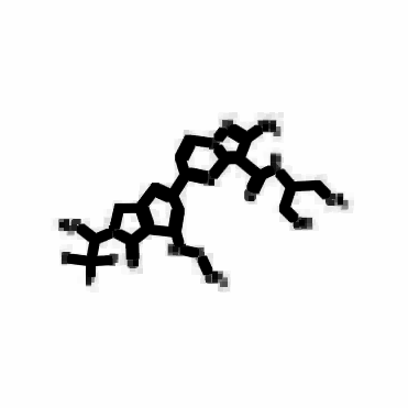 CCC(CO)NC(=O)c1c(N)nn2ccc(-c3cc4c(c(NSC)c3)C(=O)N(C(C)C(F)(F)F)C4)nc12